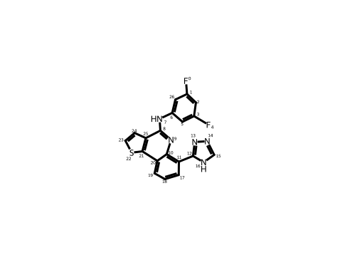 Fc1cc(F)cc(Nc2nc3c(-c4nnc[nH]4)cccc3c3sccc23)c1